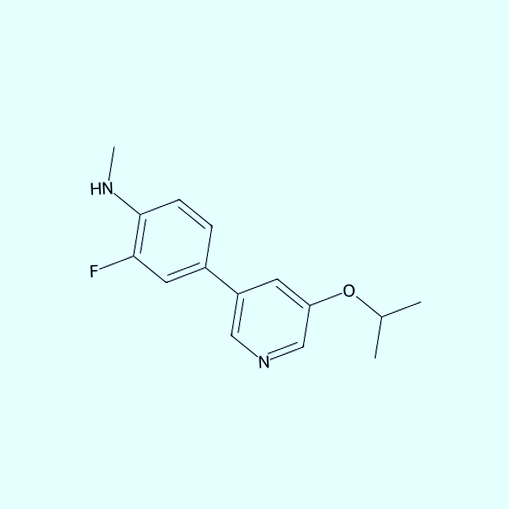 CNc1ccc(-c2cncc(OC(C)C)c2)cc1F